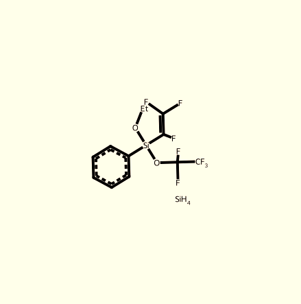 CCO[Si](OC(F)(F)C(F)(F)F)(C(F)=C(F)F)c1ccccc1.[SiH4]